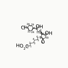 O=C(O)CCCCCC[C@H]1C(=O)CC(O)[C@@H]1SCC(O)c1ccc(Cl)cc1